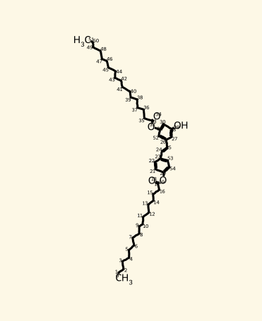 CCCCCCCCCCCCCCCCCC(=O)Oc1ccc(C=Cc2cc(O)cc(OC(=O)CCCCCCCCCCCCCCCCC)c2)cc1